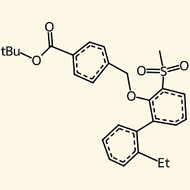 CCc1ccccc1-c1cccc(S(C)(=O)=O)c1OCc1ccc(C(=O)OC(C)(C)C)cc1